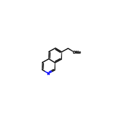 COCc1ccc2ccncc2c1